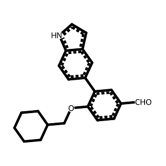 O=Cc1ccc(OCC2CCCCC2)c(-c2ccc3[nH]ccc3c2)c1